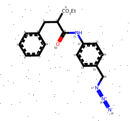 CCOC(=O)C(Cc1ccccc1)C(=O)Nc1ccc(CN=[N+]=[N-])cc1